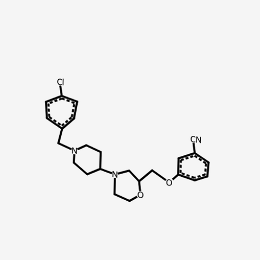 N#Cc1cccc(OCC2CN(C3CCN(Cc4ccc(Cl)cc4)CC3)CCO2)c1